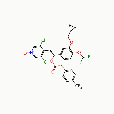 O=C(O[C@@H](Cc1c(Cl)c[n+]([O-])cc1Cl)c1ccc(OC(F)F)c(OCC2CC2)c1)Sc1ccc(C(F)(F)F)cc1